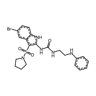 O=C(NCCNc1ccccc1)Nc1[nH]c2ccc(Br)cc2c1S(=O)(=O)N1CCCC1